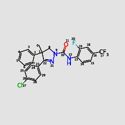 CC1(c2ccccc2)CN(C(=O)Nc2ccc(C(F)(F)F)cc2F)N=C1c1ccc(Cl)cc1